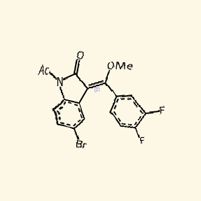 CO/C(=C1\C(=O)N(C(C)=O)c2ccc(Br)cc21)c1ccc(F)c(F)c1